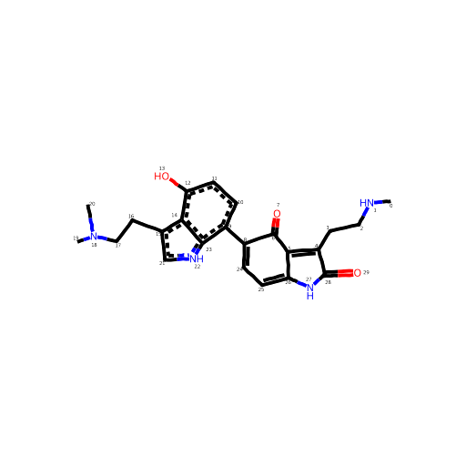 CNCCC1=C2C(=O)C(c3ccc(O)c4c(CCN(C)C)c[nH]c34)=CC=C2NC1=O